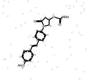 CNC(=O)OC1CC(=O)N(c2ccc(/C=C/c3ccc(OC)cc3)cc2)C1